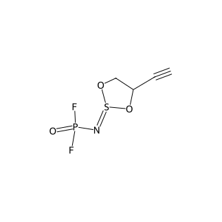 C#CC1COS(=NP(=O)(F)F)O1